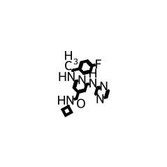 CC(Nc1cc(C(=O)NC2CCC2)cc(Nc2cnccn2)n1)c1ccc(F)cc1